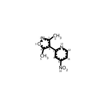 Cc1noc(C)c1-c1cc([N+](=O)[O-])ccn1